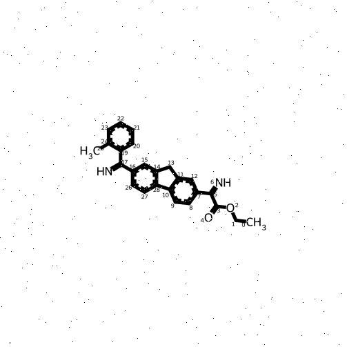 CCOC(=O)C(=N)c1ccc2c(c1)Cc1cc(C(=N)c3ccccc3C)ccc1-2